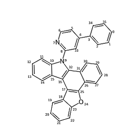 c1ccc(-c2ccnc(-n3c4ccccc4c4c5c6ccccc6oc5c5ccccc5c43)c2)cc1